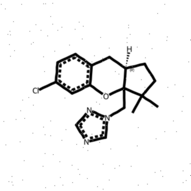 CC1(C)CC[C@@H]2Cc3ccc(Cl)cc3OC21Cn1cncn1